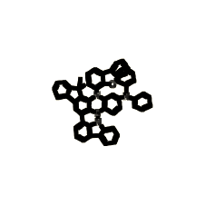 CC1(C)c2ccccc2-c2cc3c4c(c21)N(c1cccc2c1oc1ccccc12)c1cc(N(c2ccccc2)c2ccccc2)ccc1B4n1c2ccccc2c2cccc-3c21